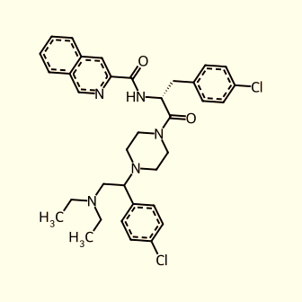 CCN(CC)CC(c1ccc(Cl)cc1)N1CCN(C(=O)[C@@H](Cc2ccc(Cl)cc2)NC(=O)c2cc3ccccc3cn2)CC1